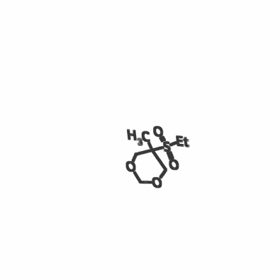 CCS(=O)(=O)C1(C)COCOC1